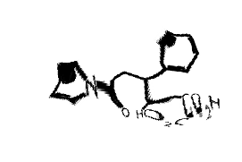 O=C(O)C(C(=O)O)C(CC(=O)n1cccc1)c1ccccc1